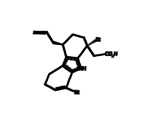 C=CC[C@H]1CC[C@@](CC)(CC(=O)O)c2[nH]c3c(c21)CCC=C3CC